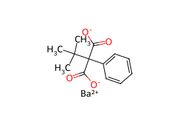 CC(C)(C)C(C(=O)[O-])(C(=O)[O-])c1ccccc1.[Ba+2]